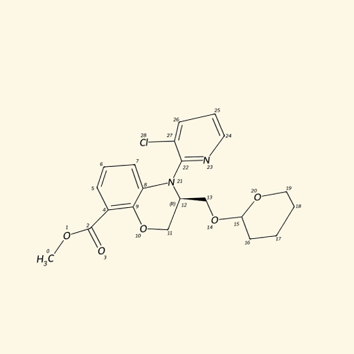 COC(=O)c1cccc2c1OC[C@H](COC1CCCCO1)N2c1ncccc1Cl